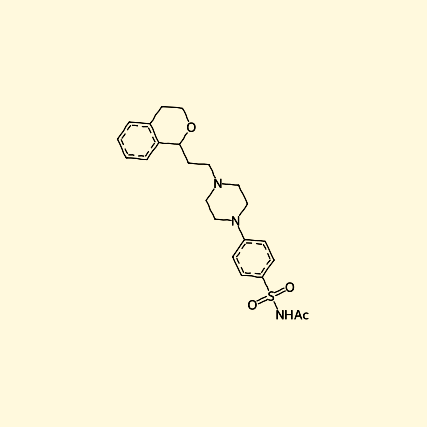 CC(=O)NS(=O)(=O)c1ccc(N2CCN(CCC3OCCc4ccccc43)CC2)cc1